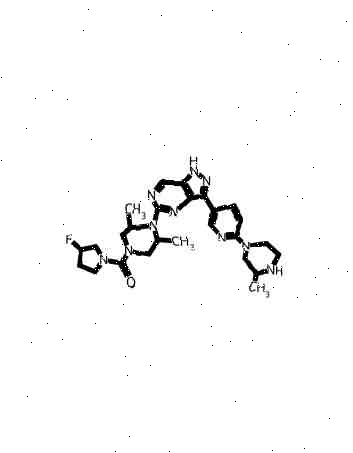 CC1CN(c2ccc(-c3n[nH]c4cnc(N5C(C)CN(C(=O)N6CCC(F)C6)CC5C)nc34)cn2)CCN1